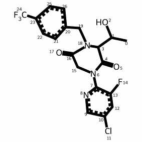 CC(O)C1C(=O)N(c2ncc(Cl)cc2F)CC(=O)N1Cc1ccc(C(F)(F)F)cc1